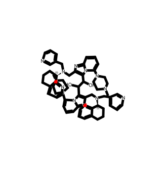 CN1CCN(c2cccc3nc(CN(Cc4cccnc4)[C@H]4CCCc5cccnc54)c(C(O)C(O)c4c(CN(Cc5cccnc5)[C@H]5CCCc6cccnc65)nc5cccc(N6CCN(C)CC6)n45)n23)CC1